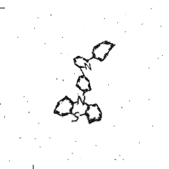 c1ccc(-c2cccc(-c3ccc(N4c5ccccc5Sc5ccccc54)cc3)n2)cc1